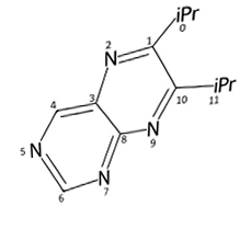 CC(C)c1nc2cncnc2nc1C(C)C